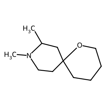 CC1CC2(CCCCO2)CCN1C